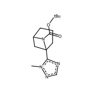 Cn1ncnc1C12CCCC(C1)N2C(=O)OC(C)(C)C